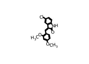 COc1ccc(/C=C2\C(=O)Nc3ccc(Cl)cc32)c(OC)c1